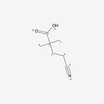 CC(C)(CCC#N)C(=O)O